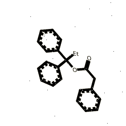 CCC(OC(=O)Cc1ccccc1)(c1ccccc1)c1ccccc1